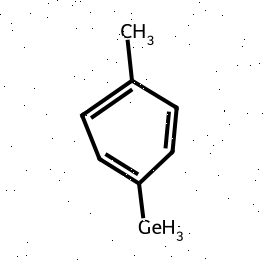 Cc1cc[c]([GeH3])cc1